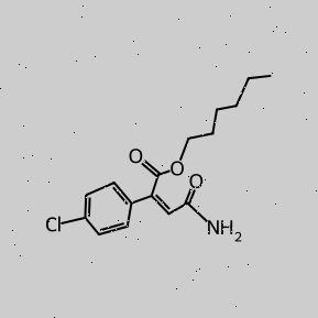 CCCCCCOC(=O)C(=CC(N)=O)c1ccc(Cl)cc1